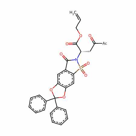 C=CCOC(=O)[C@H](CC(=O)C(C)=O)N1C(=O)c2cc3c(cc2S1(=O)=O)OC(c1ccccc1)(c1ccccc1)O3